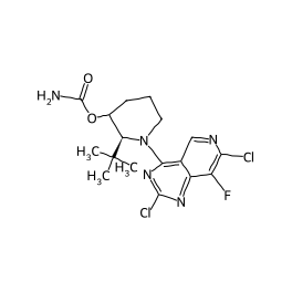 CC(C)(C)[C@H]1C(OC(N)=O)CCCN1c1nc(Cl)nc2c(F)c(Cl)ncc12